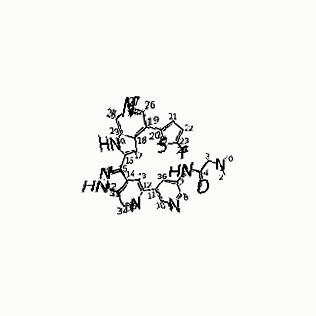 CN(C)CC(=O)Nc1cncc(-c2cc3c(-c4cc5c(-c6ccc(F)s6)cncc5[nH]4)n[nH]c3cn2)c1